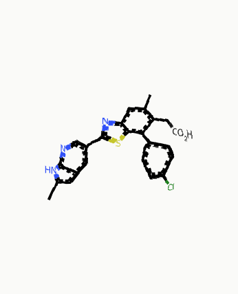 Cc1cc2cc(-c3nc4cc(C)c(CC(=O)O)c(-c5ccc(Cl)cc5)c4s3)cnc2[nH]1